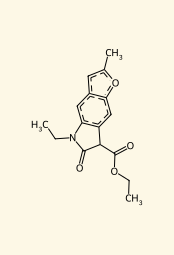 CCOC(=O)C1C(=O)N(CC)c2cc3cc(C)oc3cc21